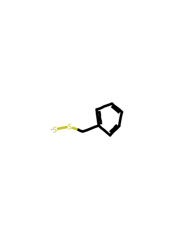 [S]SCc1ccccc1